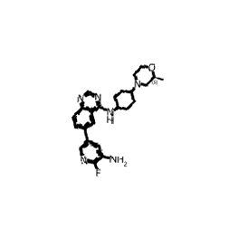 C[C@H]1CN(C2CCC(Nc3ncnc4ccc(-c5cnc(F)c(N)c5)cc34)CC2)CCO1